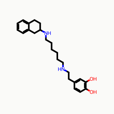 Oc1ccc(CCNCCCCCCNC2CCc3ccccc3C2)cc1O